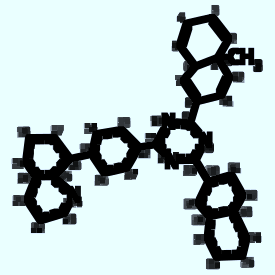 CC12C=CC=CC1C=C(c1nc(-c3ccc(-c4cccc5cccnc45)cc3)nc(-c3ccc4ccccc4c3)n1)C=C2